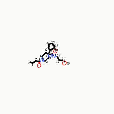 CC=CC(=O)N1CCC(C(=O)NCCCOC)(c2ccccc2)CC1